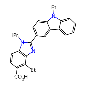 CCc1c(C(=O)O)ccc2c1nc(-c1ccc3c(c1)c1ccccc1n3CC)n2C(C)C